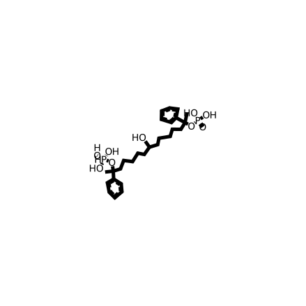 CC(CCCCCC(O)CCCCCC(C)(O[PH](O)(O)O)c1ccccc1)(OP(=O)(O)O)c1ccccc1